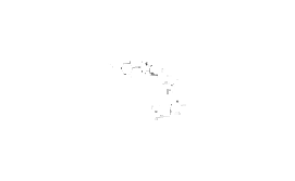 COc1ccc(-c2noc(N3CCC(C(=O)NCC4CCN(CC5CC5(C)C)C4)CC3)n2)cc1